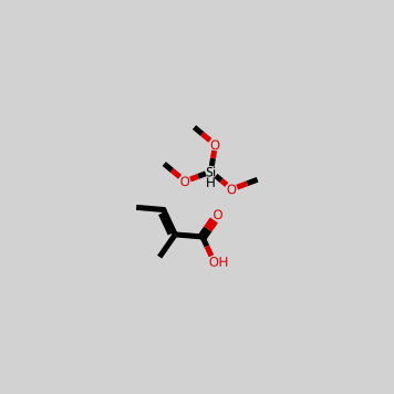 C/C=C(\C)C(=O)O.CO[SiH](OC)OC